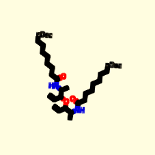 C=CC(OC(C=C)C(C)NC(=O)CCCCCCCCCCCCCCCCC)C(C)NC(=O)CCCCCCCCCCCCCCCCC